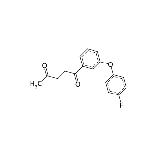 CC(=O)CCC(=O)c1cccc(Oc2ccc(F)cc2)c1